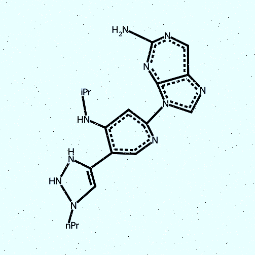 CCCN1C=C(c2cnc(-n3cnc4cnc(N)nc43)cc2NC(C)C)NN1